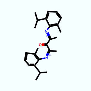 C/C(=N/c1c(C)cccc1C(C)C)C(=O)/C(C)=N/c1c(C)cccc1C(C)C